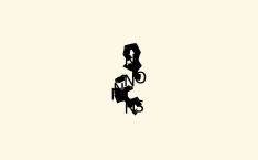 O=C(c1cc2ccccn2c1)N1CCn2ncc(-c3cscn3)c2C1